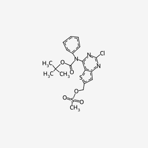 CC(C)(C)OC(=O)N(c1ccccc1)c1nc(Cl)nc2cc(COS(C)(=O)=O)sc12